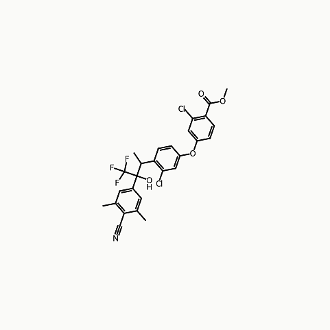 COC(=O)c1ccc(Oc2ccc(C(C)C(O)(c3cc(C)c(C#N)c(C)c3)C(F)(F)F)c(Cl)c2)cc1Cl